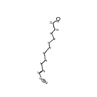 CC(C)(C)CCCCCCCCCCC[O]